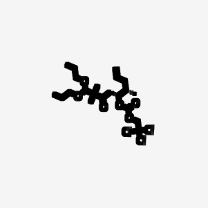 C=CC[C@H](C)[C@@H](CC(=O)C(C)(C)C(OCCC)OCCC)OC(=O)OCC(Cl)(Cl)Cl